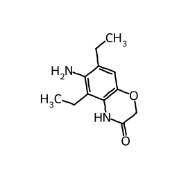 CCc1cc2c(c(CC)c1N)NC(=O)CO2